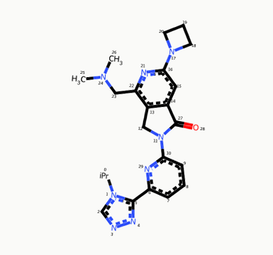 CC(C)n1cnnc1-c1cccc(N2Cc3c(cc(N4CCC4)nc3CN(C)C)C2=O)n1